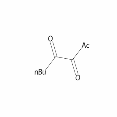 CCCCC(=O)C(=O)C(C)=O